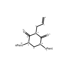 C=CCN1C(=O)N(CCCCC)CN(CCCCC)C1=O